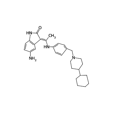 CC(Nc1ccc(CN2CCC(C3CCCCC3)CC2)cc1)=C1C(=O)Nc2ccc(N)cc21